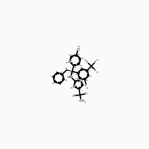 CC(F)(F)c1csc(N[C@@](Cc2ccccc2)(c2cc(F)cc(C(F)(F)F)c2)c2ccc(Cl)cn2)n1